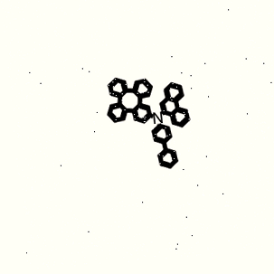 c1ccc(-c2ccc(N(c3ccc4c(c3)-c3ccccc3-c3ccccc3-c3ccccc3-4)c3cc4ccccc4c4ccccc34)cc2)cc1